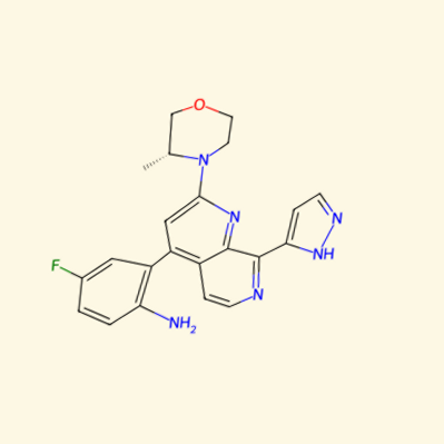 C[C@@H]1COCCN1c1cc(-c2cc(F)ccc2N)c2ccnc(-c3ccn[nH]3)c2n1